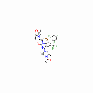 C=CC(=O)N1C[C@H](C)N(c2nc(=O)n3c4c(c(-c5ccc(F)cc5F)c(C(F)(F)F)cc24)SC[C@@H]3CN2C[C@@H]3C[C@H]2CO3)C[C@H]1C